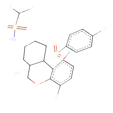 O=S(=O)(N[C@@H]1CC[C@@]2(S(=O)(=O)c3ccc(Cl)cc3)c3c(F)ccc(F)c3OC[C@@]2(O)C1)C(F)F